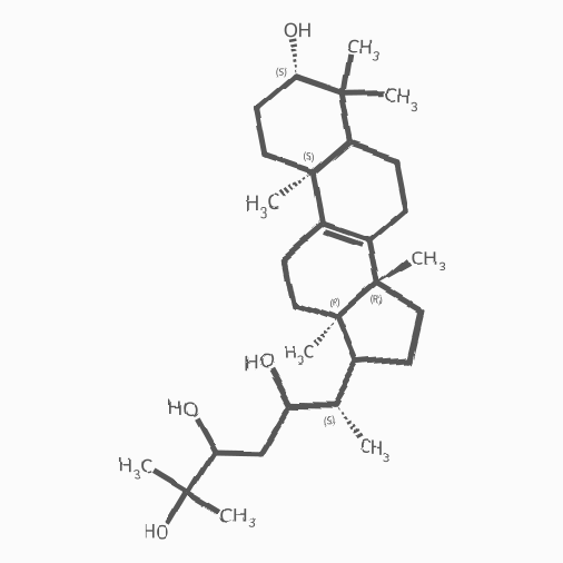 C[C@H](C(O)CC(O)C(C)(C)O)C1CC[C@@]2(C)C3=C(CC[C@]12C)[C@@]1(C)CC[C@H](O)C(C)(C)C1CC3